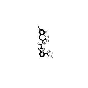 CC(C)c1cccc2nc(C(=O)NC3CCc4cc(F)cc(F)c4NC3=O)nn12